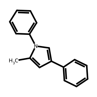 Cc1cc(-c2ccccc2)cn1-c1ccccc1